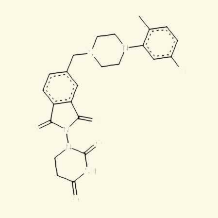 Cc1ccc(Cl)cc1N1CCN(Cc2ccc3c(c2)C(=O)N(N2CCC(=O)NC2=O)C3=O)CC1